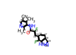 Cc1ncc(C#N)c(C)c1NC(=O)/C(F)=C/c1ccc2cn[nH]c2c1F